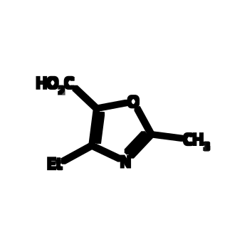 CCc1nc(C)oc1C(=O)O